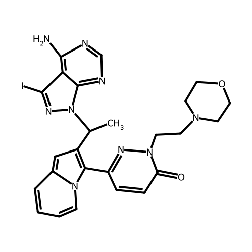 CC(c1cc2ccccn2c1-c1ccc(=O)n(CCN2CCOCC2)n1)n1nc(I)c2c(N)ncnc21